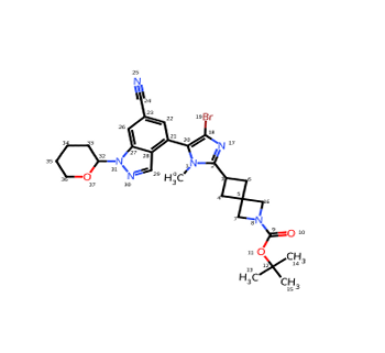 Cn1c(C2CC3(C2)CN(C(=O)OC(C)(C)C)C3)nc(Br)c1-c1cc(C#N)cc2c1cnn2C1CCCCO1